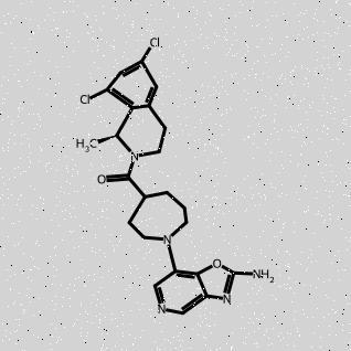 C[C@H]1c2c(Cl)cc(Cl)cc2CCN1C(=O)C1CCCN(c2cncc3nc(N)oc23)CC1